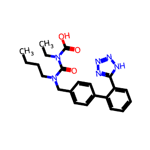 CCCCN(Cc1ccc(-c2ccccc2-c2nnn[nH]2)cc1)C(=O)N(CC)C(=O)O